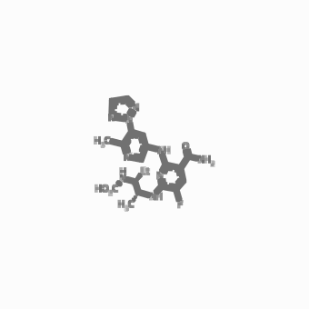 CC[C@H](NC(=O)O)[C@@H](C)Nc1nc(Nc2cnc(C)c(-n3nccn3)c2)c(C(N)=O)cc1F